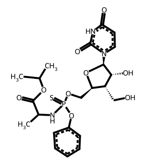 CC(C)OC(=O)C(C)NP(=S)(OC[C@H]1O[C@@H](n2ccc(=O)[nH]c2=O)[C@H](O)[C@@H]1CO)Oc1ccccc1